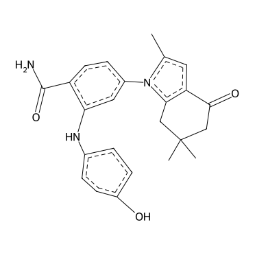 Cc1cc2c(n1-c1ccc(C(N)=O)c(Nc3ccc(O)cc3)c1)CC(C)(C)CC2=O